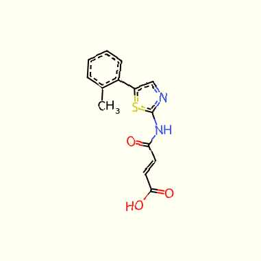 Cc1ccccc1-c1cnc(NC(=O)C=CC(=O)O)s1